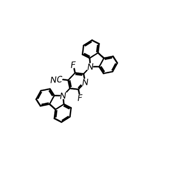 N#Cc1c(F)c(-n2c3ccccc3c3ccccc32)nc(F)c1-n1c2ccccc2c2ccccc21